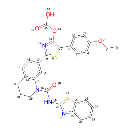 CCOc1ccc(-c2sc(-c3ccc4c(c3)N(C(=O)Nc3nc5ccccc5s3)CCC4)nc2OC(=O)O)cc1